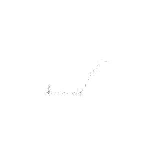 CCCCCCCCCCCCCCCCCCCCCCCC(F)(F)CCCCCCCCCCCS(=O)(=O)OF